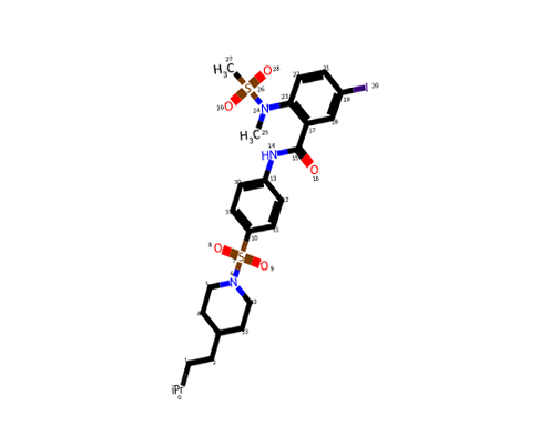 CC(C)CCC1CCN(S(=O)(=O)c2ccc(NC(=O)c3cc(I)ccc3N(C)S(C)(=O)=O)cc2)CC1